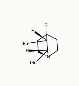 CC(C)(C)[C@@H]1[C@H]2CC[N@](CC2)[C@@H]1C(C)(C)C